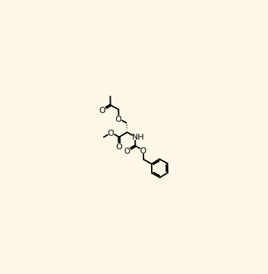 COC(=O)[C@H](COCC(C)=O)NC(=O)OCc1ccccc1